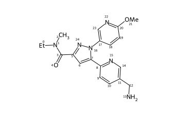 CCN(C)C(=O)c1cc(-c2ccc(CN)cn2)n(-c2ccc(OC)nc2)n1